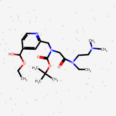 CCOC(O)c1ccnc(CN(CC(=O)N(CC)CCN(C)C)C(=O)OC(C)(C)C)c1